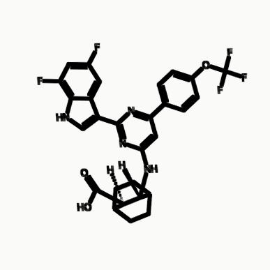 O=C(O)[C@@H]1C2CCC(CC2)[C@H]1Nc1cc(-c2ccc(OC(F)(F)F)cc2)nc(-c2c[nH]c3c(F)cc(F)cc23)n1